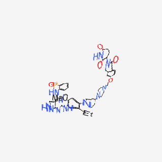 C=N/C(Nc1ccccc1P(C)(C)=O)=C1/C=NN/C1=N/CNc1cc(CC)c(N2CCC(N3CCN(CCOc4ccc5c(c4)CN(C4CCC(=O)NC4=O)C5=O)CC3)CC2)cc1OC